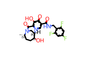 C[C@H]1CC[C@H](O)[C@H]2CN1C(=O)c1c(O)c(=O)c(C(=O)NCc3c(F)cc(F)cc3F)cn12